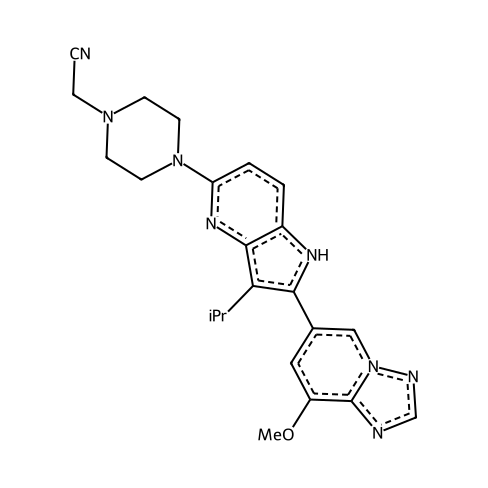 COc1cc(-c2[nH]c3ccc(N4CCN(CC#N)CC4)nc3c2C(C)C)cn2ncnc12